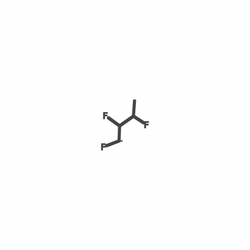 CC(F)C(F)[CH]F